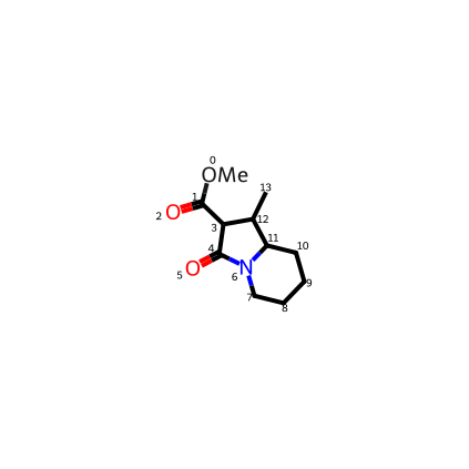 COC(=O)C1C(=O)N2CCCCC2C1C